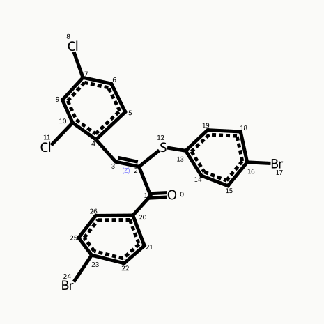 O=C(/C(=C/c1ccc(Cl)cc1Cl)Sc1ccc(Br)cc1)c1ccc(Br)cc1